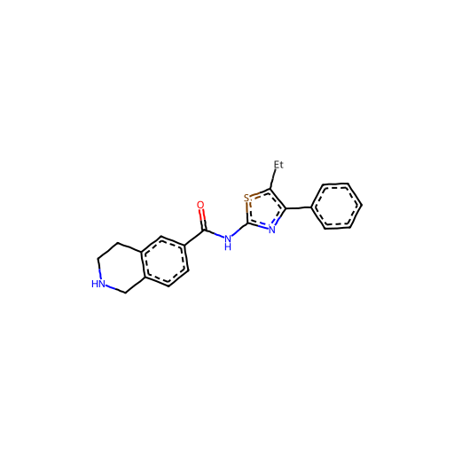 CCc1sc(NC(=O)c2ccc3c(c2)CCNC3)nc1-c1ccccc1